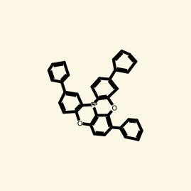 S=P12c3cc(-c4ccccc4)ccc3Oc3ccc(-c4ccccc4)c(c31)Oc1cc(-c3ccccc3)ccc12